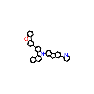 c1ccc(-c2ccc3c(c2)Cc2cc(-n4c5ccc(-c6ccc7oc8ccccc8c7c6)cc5c5c6ccccc6ccc54)ccc2-3)nc1